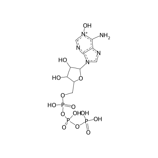 Nc1c2ncn(C3OC(COP(=O)(O)OP(=O)(O)OP(=O)(O)O)C(O)C3O)c2nc[n+]1O